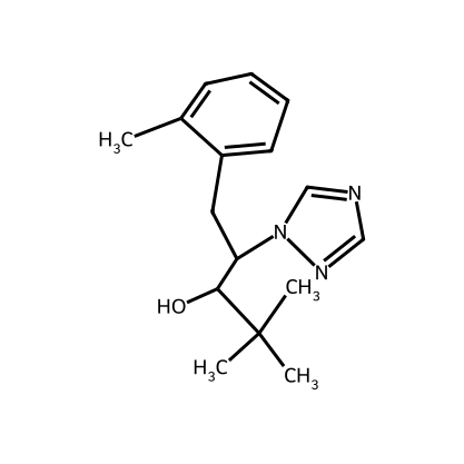 Cc1ccccc1CC(C(O)C(C)(C)C)n1cncn1